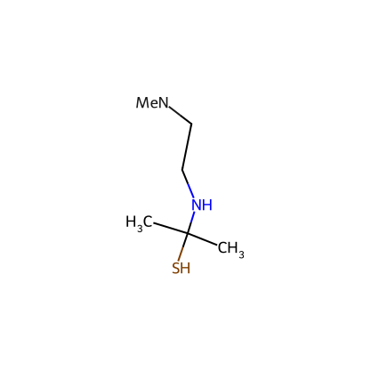 CNCCNC(C)(C)S